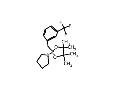 CC1(C)O[B-](Cc2cccc(C(F)(F)F)c2)(B2CCCC2)OC1(C)C